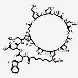 CCC(C)CCCCCCCCC(=O)NC(Cc1c[nH]c2ccccc12)C(=O)NC(CC(N)=O)C(=O)NC(CC(=O)O)C(=O)NC1C(=O)NCC(=O)NC(CCCN)C(=O)NC(CC(=O)O)C(=O)NC(C)C(=O)NC(CC(=O)O)C(=O)NCC(=O)NC(CO)C(=O)NC(CCC(=O)O)C(=O)NC(C(C)CC)C(=O)OC1C